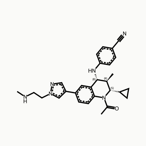 CNCCn1cc(-c2ccc3c(c2)[C@H](Nc2ccc(C#N)cc2)[C@@H](C)[C@H](C2CC2)N3C(C)=O)cn1